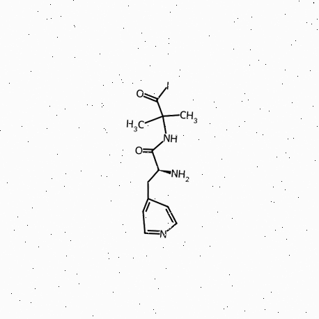 CC(C)(NC(=O)[C@@H](N)Cc1ccncc1)C(=O)I